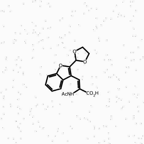 CC(=O)NC(=Cc1c(C2OCCO2)oc2ccccc12)C(=O)O